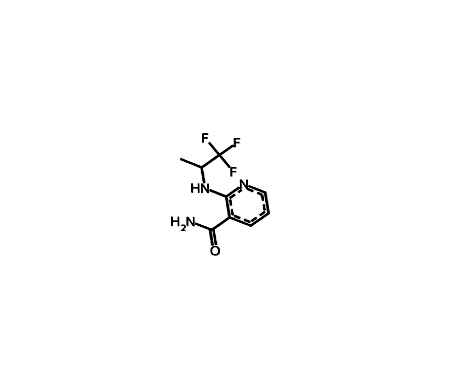 CC(Nc1ncccc1C(N)=O)C(F)(F)F